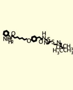 CC(C)(C)C1CN=C(CSc2cnc(NC(=O)Cc3ccc(OCCCCCCC(=O)Nc4ccccc4N)cc3)s2)O1